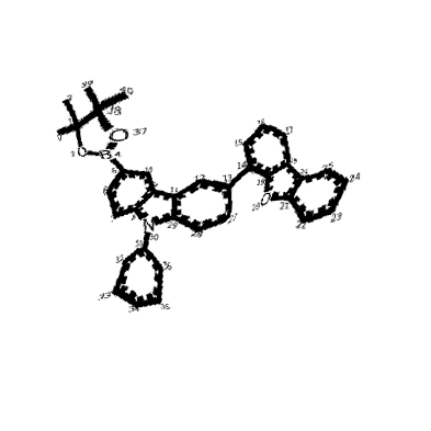 CC1(C)OB(c2ccc3c(c2)c2cc(-c4cccc5c4oc4ccccc45)ccc2n3-c2ccccc2)OC1(C)C